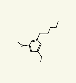 CCCCCc1cc(CC)cc(OC)c1